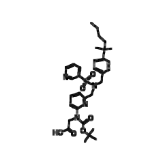 CCCCC(C)(C)c1ccc(CN(Cc2cccc(N(CC(=O)O)C(=O)OC(C)(C)C)n2)S(=O)(=O)c2cccnc2)cc1